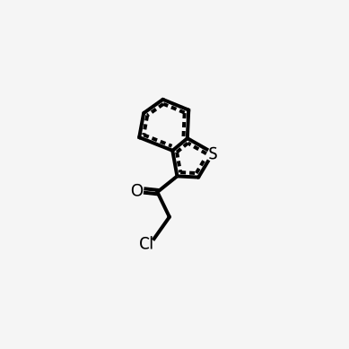 O=C(CCl)c1csc2ccccc12